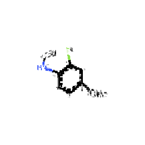 COc1ccc(NC(C)(C)C)c(F)c1